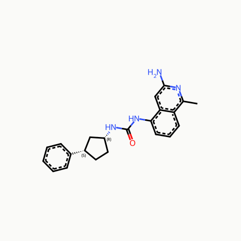 Cc1nc(N)cc2c(NC(=O)N[C@@H]3CC[C@H](c4ccccc4)C3)cccc12